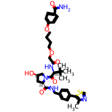 Cc1ncsc1-c1ccc(CNC(=O)[C@@H]2C[C@@H](O)CN2C(=O)[C@@H](NC(=O)COCCCCOc2ccc(C(N)=O)cc2)C(C)(C)C)cc1